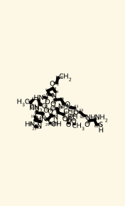 C=CCO[C@H]1C[C@@H](C(=O)N[C@@H](CC(C)C)C(=O)N[C@@H](Cc2cnc[nH]2)C(=O)N[C@@H](CO)C(=O)N[C@H](C(N)=O)[C@@H](C)OP(=O)(O)OC)N(C(=O)CCOCCOCCNC(=O)[C@@H](N)CS)C1